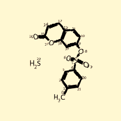 Cc1ccc(S(=O)(=O)Oc2ccc3ccc(=O)oc3c2)cc1.S